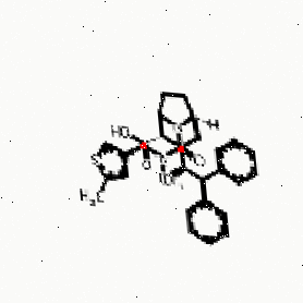 Cc1cc(CN(C)C(=O)N2C3CC[C@H]2CN(C(=O)C(c2ccccc2)c2ccccc2)[C@@H]3C(=O)O)cs1